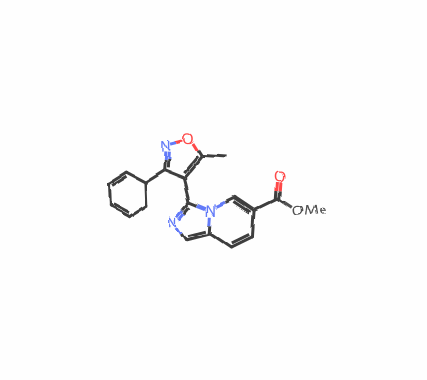 COC(=O)c1ccc2cnc(-c3c(C4C=CC=CC4)noc3C)n2c1